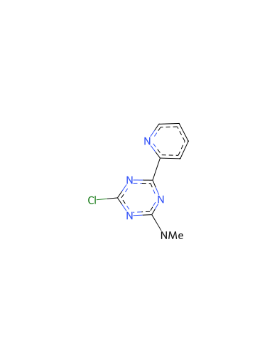 CNc1nc(Cl)nc(-c2ccccn2)n1